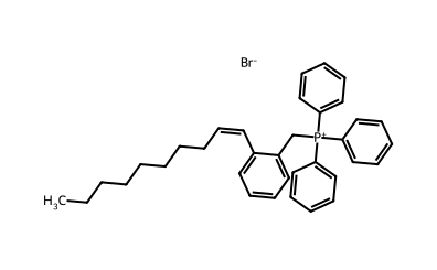 CCCCCCCC/C=C\c1ccccc1C[P+](c1ccccc1)(c1ccccc1)c1ccccc1.[Br-]